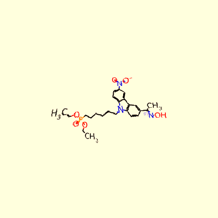 CCOP(=O)(CCCCCCn1c2ccc(/C(C)=N/O)cc2c2cc([N+](=O)[O-])ccc21)OCC